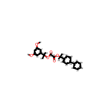 COc1cc(OC)cc(C(C)(C)OC(=O)C(=O)OC(C)(C)c2ccc(-c3ccccc3)cc2)c1